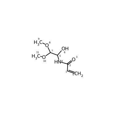 C=CC(=O)NC(O)C(OC)OC